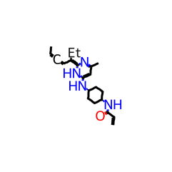 C=CC(=O)N[C@H]1CC[C@@H](NC2=CC(C)=N/C(=C(/C=C=CC)CC)N2)CC1